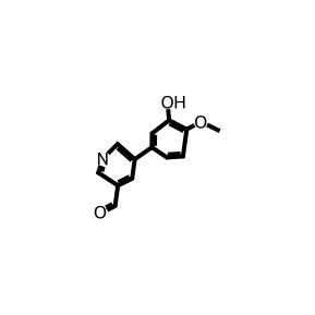 COc1ccc(-c2cncc(C=O)c2)cc1O